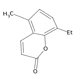 CCc1ccc(C)c2ccc(=O)oc12